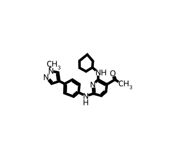 CC(=O)c1ccc(Nc2ccc(-c3cnn(C)c3)cc2)nc1NC1CCCCC1